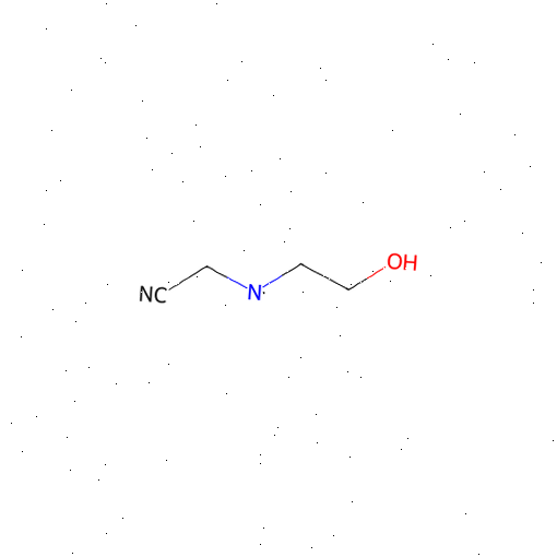 N#CC[N]CCO